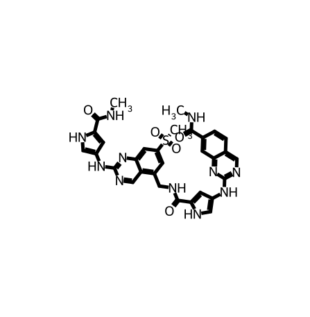 CNC(=O)c1ccc2cnc(Nc3c[nH]c(C(=O)NCc4cc(S(C)(=O)=O)cc5nc(Nc6c[nH]c(C(=O)NC)c6)ncc45)c3)nc2c1